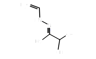 C=CN/N=C(\S)C(C)C